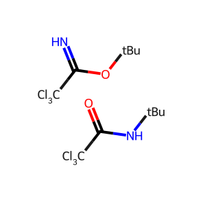 CC(C)(C)NC(=O)C(Cl)(Cl)Cl.CC(C)(C)OC(=N)C(Cl)(Cl)Cl